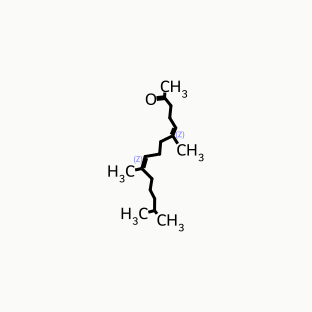 CC(=O)CC/C=C(/C)CC/C=C(/C)CCCC(C)C